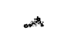 Cc1ccc2c(c1)c(NCC(=O)NC1CN([C@H]3CC[C@@H](C)CC3)C1)nn2C(=O)NC(C)(C)C